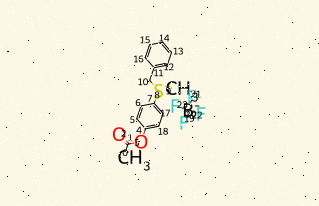 CC(=O)Oc1ccc([S+](C)Cc2ccccc2)cc1.F[B-](F)(F)F